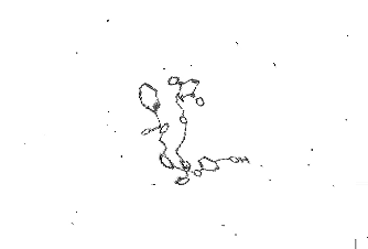 O=C(OCCOP(=O)(OCCOCCN1C(=O)C=CC1=O)Oc1ccc(CO)cc1)c1ccccc1